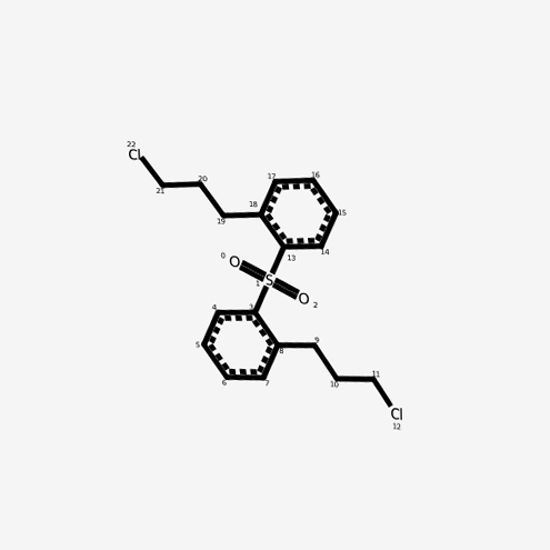 O=S(=O)(c1ccccc1CCCCl)c1ccccc1CCCCl